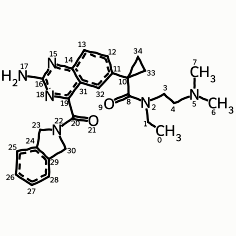 CCN(CCN(C)C)C(=O)C1(c2ccc3nc(N)nc(C(=O)N4Cc5ccccc5C4)c3c2)CC1